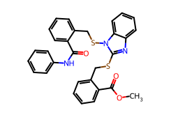 COC(=O)c1ccccc1CSc1nc2ccccc2n1SCc1ccccc1C(=O)Nc1ccccc1